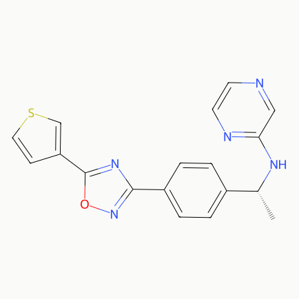 C[C@@H](Nc1cnccn1)c1ccc(-c2noc(-c3ccsc3)n2)cc1